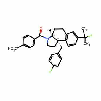 CC(F)(c1ccc2c(c1)CC[C@@H]1N(C(=O)c3ccc(C(=O)O)cc3)CC[C@]21Cc1ccc(F)cc1)C(F)(F)F